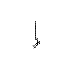 CCCCCCCCCCCCCCCCCCc1ccc(C=CC(=O)c2ccc(Br)cc2)cc1